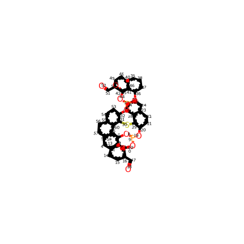 COc1ccccc1OP(Oc1ccccc1C=O)Oc1ccc2ccccc2c1Sc1c(OP(Oc2ccccc2C=O)Oc2ccccc2C=O)ccc2ccccc12